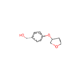 OCc1ccc(OC2CCOC2)cc1